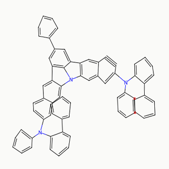 c1c(N(c2ccccc2)c2ccccc2C2=CC=CCC2)cc2cc3c(cc2c#1)c1cc(-c2ccccc2)cc2c4cc5ccc(N(c6ccccc6)c6ccccc6-c6ccccc6)cc5cc4n3c12